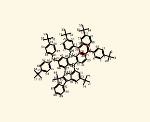 CC(C)(C)c1ccc(N(c2ccc(C(C)(C)C)cc2)c2ccc3c(c2)N(c2ccc(C(C)(C)C)cc2-c2ccccc2)c2cc(N(c4ccc(C(C)(C)C)cc4)c4ccc(C(C)(C)C)cc4)cc4c2B3c2cc(C(C)(C)C)cc3c5c(n-4c23)C(C)(C)c2ccccc2-5)cc1